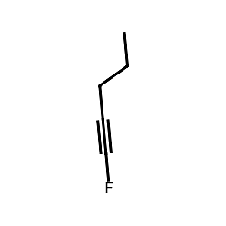 CCCC#CF